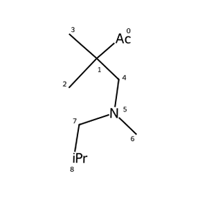 CC(=O)C(C)(C)CN(C)CC(C)C